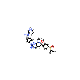 CN1CCCC(Nc2ccc(Nc3ncc4cc(-c5ccc([S+]([O-])C6CC6)cc5)c(=O)n(CC(F)(F)F)c4n3)cc2)C1